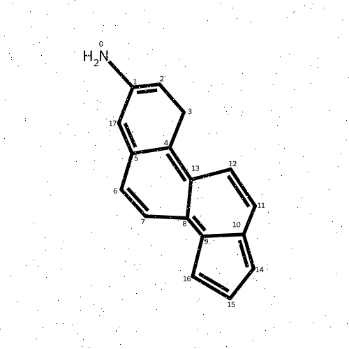 NC1=CCc2c(ccc3c4c(ccc23)=CC=C4)=C1